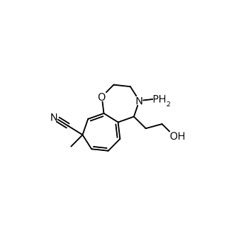 CC1(C#N)C=CC=C2C(=C1)OCCN(P)C2CCO